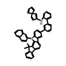 CC1(C)c2ccccc2-c2ccc3c4cc(-c5cccc(-c6ccccc6NC6=CC7(C=CC=C7)C=C6)c5)ccc4n(-c4ccc5ccccc5c4)c3c21